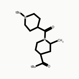 CC1CC(C(=O)C(C)(C)C)CCN1C(=O)C1CCN(C(C)(C)C)CC1